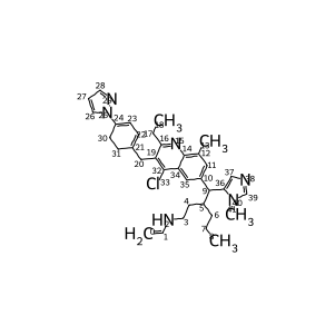 C=CNCCC(CCC)C(c1cc(C)c2nc(CC)c(CC3=CC=C(n4cccn4)CC3)c(Cl)c2c1)c1cncn1C